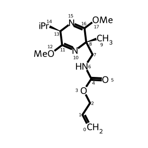 C=CCOC(=O)NC[C@]1(C)N=C(OC)[C@@H](C(C)C)N=C1OC